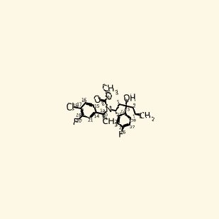 C=CCC(O)(CCN(C(=O)OC)[C@@H](C)c1ccc(Cl)c(F)c1)c1ccc(F)cc1